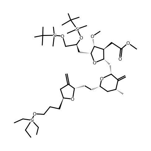 C=C1C[C@H](CCCO[Si](CC)(CC)CC)O[C@H]1CC[C@H]1C[C@@H](C)C(=C)[C@@H](C[C@@H]2O[C@H](C[C@@H](CO[Si](C)(C)C(C)(C)C)O[Si](C)(C)C(C)(C)C)[C@H](OC)[C@H]2CC(=O)OC)O1